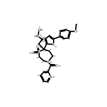 COc1ccc(-c2ccc(C3(CC(=O)NO)CCN(C(=O)c4ccccn4)CCS3(=O)=O)s2)cc1